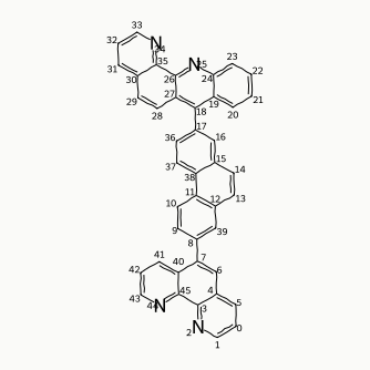 c1cnc2c(c1)cc(-c1ccc3c(ccc4cc(-c5c6ccccc6nc6c5ccc5cccnc56)ccc43)c1)c1cccnc12